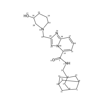 O=C(NCC12CC3CC(CC(C3)C1)C2)c1cccc2nc(CN3CCCC(O)C3)cn12